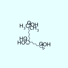 CC(C)(CCCCCCc1c(CCCCCCC2(C(=O)O)CC2)ccc(O)c1O)C(=O)O